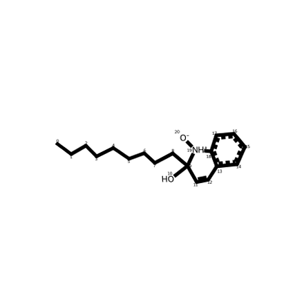 CCCCCCCCCC1(O)C=Cc2ccccc2[NH+]1[O-]